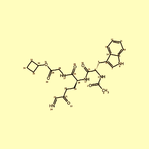 CC(=O)N[C@@H](Cc1c[nH]c2ccccc12)C(=O)N[C@@H](CCC(=O)C=N)C(=O)NCC(=O)OC1CCC1